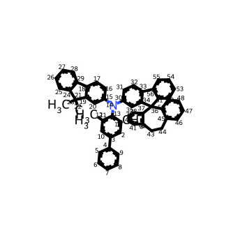 Cc1cc(-c2ccccc2)cc(C)c1N(c1ccc2c(c1)C(C)(C)c1ccccc1-2)c1ccc2c(c1)C1(c3ccccc3CCc3ccccc31)c1ccccc1-2